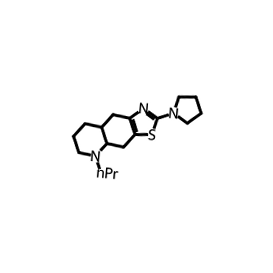 CCCN1CCCC2Cc3nc(N4CCCC4)sc3CC21